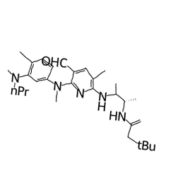 C=C(CC(C)(C)C)N[C@@H](C)C(C)Nc1nc(N(C)c2ccc(C)c(N(C)CCC)c2)c(C=O)cc1C